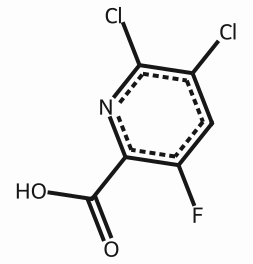 O=C(O)c1nc(Cl)c(Cl)cc1F